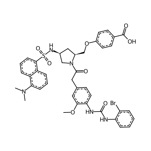 COc1cc(CC(=O)N2C[C@@H](NS(=O)(=O)c3cccc4c(N(C)C)cccc34)C[C@H]2COc2ccc(C(=O)O)cc2)ccc1NC(=O)Nc1ccccc1Br